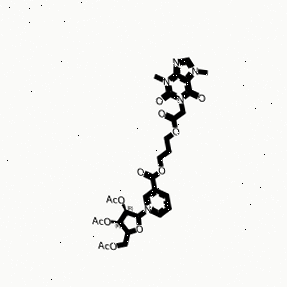 CC(=O)OCC1OC([n+]2cccc(C(=O)OCCCOC(=O)Cn3c(=O)c4c(ncn4C)n(C)c3=O)c2)[C@H](OC(C)=O)[C@@H]1OC(C)=O